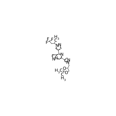 CC(CC(F)(F)F)n1cc(-c2nc(-c3cnn(CC4COC(C)(C)O4)c3)cn3nccc23)cn1